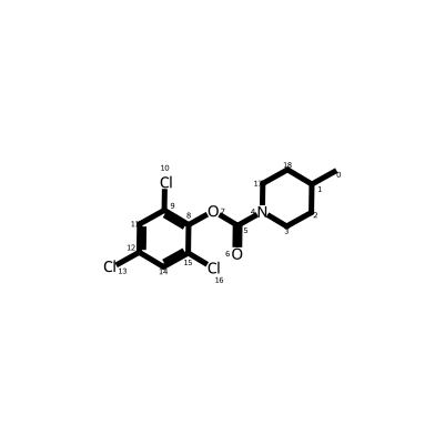 CC1CCN(C(=O)Oc2c(Cl)cc(Cl)cc2Cl)CC1